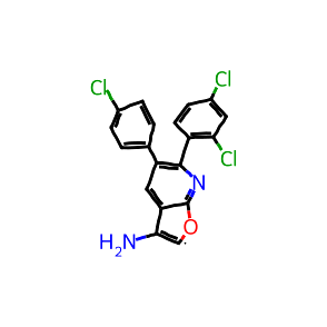 Nc1[c]oc2nc(-c3ccc(Cl)cc3Cl)c(-c3ccc(Cl)cc3)cc12